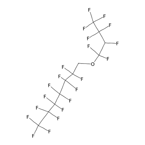 FC(C(F)(F)OCC(F)(F)C(F)(F)C(F)(F)C(F)(F)C(F)(F)C(F)(F)F)C(F)(F)C(F)(F)F